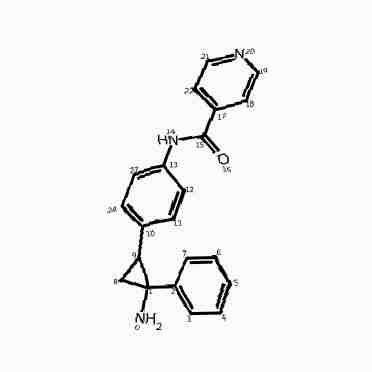 NC1(c2ccccc2)CC1c1ccc(NC(=O)c2ccncc2)cc1